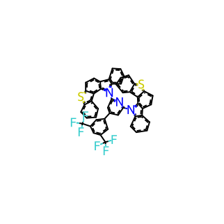 FC(F)(F)c1cc(-c2cc(-n3c4ccccc4c4ccc5sc6ccccc6c5c43)nc(-n3c4ccccc4c4ccc5sc6ccccc6c5c43)c2)cc(C(F)(F)F)c1